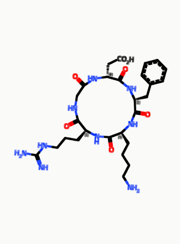 N=C(N)NCCC[C@@H]1NC(=O)[C@H](CCCCN)NC(=O)[C@H](Cc2ccccc2)NC(=O)[C@@H](CC(=O)O)NC(=O)CNC1=O